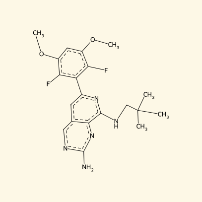 COc1cc(OC)c(F)c(-c2cc3cnc(N)nc3c(NCC(C)(C)C)n2)c1F